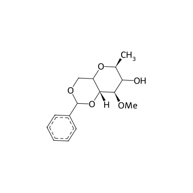 CO[C@@H]1C(O)[C@H](C)OC2COC(c3ccccc3)O[C@H]21